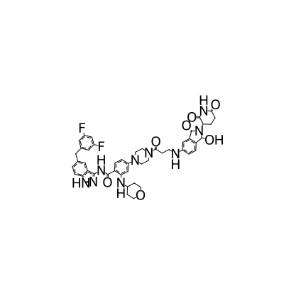 O=C1CCC(N2C(=O)c3cc(NCCC(=O)N4CCN(c5ccc(C(=O)Nc6n[nH]c7ccc(Cc8cc(F)cc(F)c8)cc67)c(NC6CCOCC6)c5)CC4)ccc3C2O)C(=O)N1